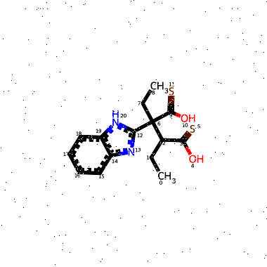 CCC(C(O)=S)C(CC)(C(O)=S)c1nc2ccccc2[nH]1